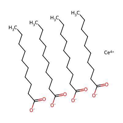 CCCCCCCCCC(=O)[O-].CCCCCCCCCC(=O)[O-].CCCCCCCCCC(=O)[O-].CCCCCCCCCC(=O)[O-].[Ce+4]